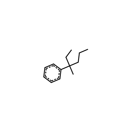 CCCC(C)(CC)c1ccccc1